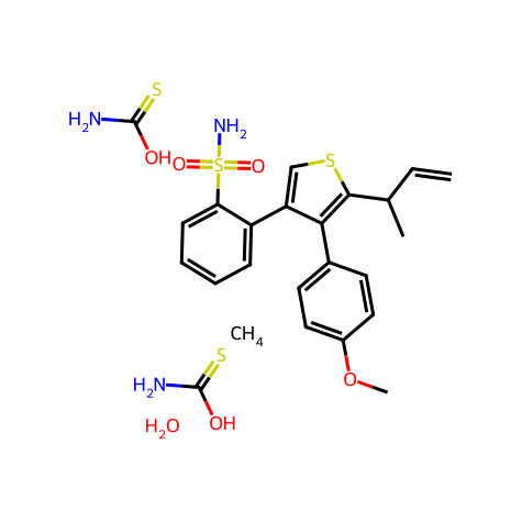 C.C=CC(C)c1scc(-c2ccccc2S(N)(=O)=O)c1-c1ccc(OC)cc1.NC(O)=S.NC(O)=S.O